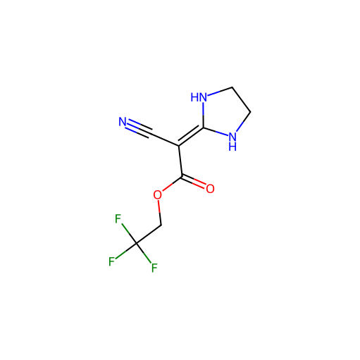 N#CC(C(=O)OCC(F)(F)F)=C1NCCN1